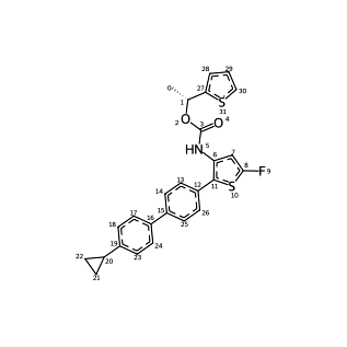 C[C@@H](OC(=O)Nc1cc(F)sc1-c1ccc(-c2ccc(C3CC3)cc2)cc1)c1cccs1